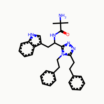 CC(C)(N)C(=O)NC(Cc1c[nH]c2ccccc12)c1nnc(CCc2ccccc2)n1CCc1ccccc1